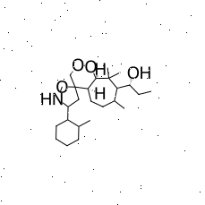 CC[C@@H](O)C1C(C)CC[C@@H]2[C@@H](OOCC23CC(C2CCCCC2C)NO3)C1(C)C